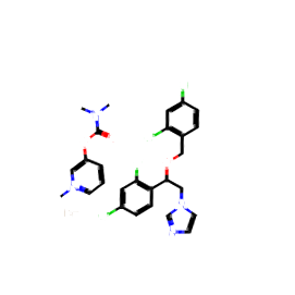 CN(C)C(=O)Oc1ccc[n+](C)c1.Clc1ccc(COC(Cn2ccnc2)c2ccc(Cl)cc2Cl)c(Cl)c1.[Br-]